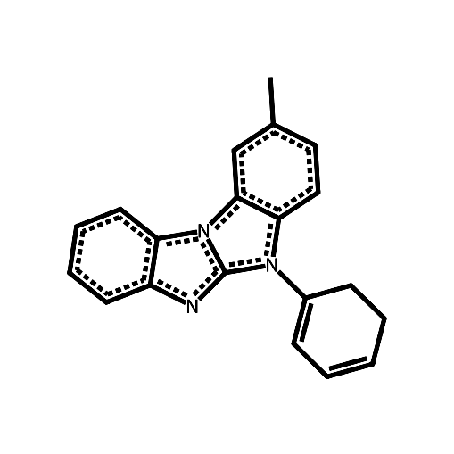 Cc1ccc2c(c1)n1c3ccccc3nc1n2C1=CC=CCC1